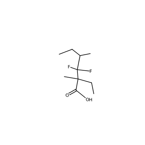 CCC(C)C(F)(F)C(C)(CC)C(=O)O